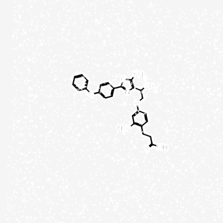 Cc1cc(OCC(C)c2nc(-c3ccc(Sc4ccccc4)cc3)oc2C)ccc1CCC(=O)O